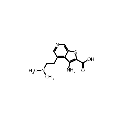 CN(C)CCc1cncc2sc(C(=O)O)c(N)c12